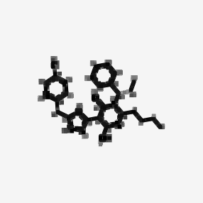 CCCCc1nc(O)c(-c2nnc(Cc3ccc(Cl)cn3)o2)c(=O)n1[C@@H](CC)c1ccccc1